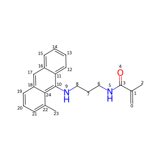 C=C(C)C(=O)NCCCNc1c2ccccc2cc2cccc(C)c12